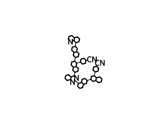 N#Cc1ccc(-c2cc(-c3ccc4c(-c5nc(-c6ccc7c(-c8ccc(C#N)cc8)c(-c8ccc9cc(-c%10cccc%11cccnc%10%11)ccc9c8)ccc7c6)c6ccccc6n5)cccc4c3)cc3ccccc23)cc1